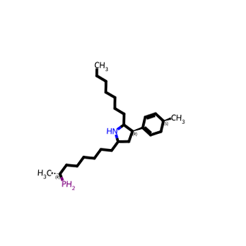 CCCCCCCC1NC(CCCCCC[C@@H](C)P)C[C@@H]1C1=CC[C@H](C)C=C1